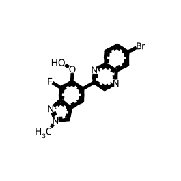 Cn1cc2cc(-c3cnc4cc(Br)ccc4n3)c(OO)c(F)c2n1